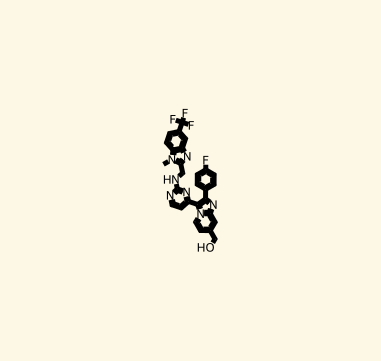 Cn1c(CNc2nccc(-c3c(-c4ccc(F)cc4)nc4cc(CO)ccn34)n2)nc2cc(C(F)(F)F)ccc21